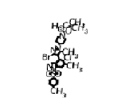 Cc1ccc(S(=O)(=O)n2ncc3c(-c4c(Br)nn(C5CCN(C(=O)OC(C)(C)C)CC5)c4C)c(Cl)c(C)cc32)cc1